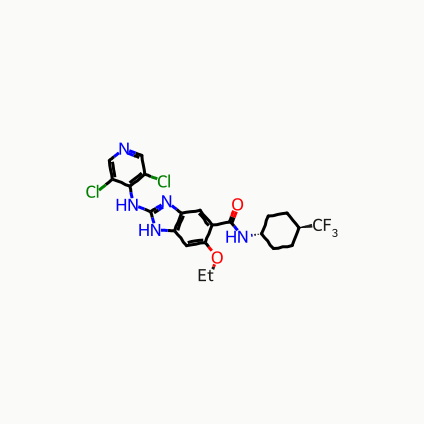 CCOc1cc2[nH]c(Nc3c(Cl)cncc3Cl)nc2cc1C(=O)N[C@H]1CC[C@H](C(F)(F)F)CC1